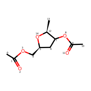 CC(=O)OC[C@@H]1CC(OC(C)=O)[C@H](C)O1